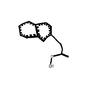 CC(Cc1ccc2ccccc2c1)OO